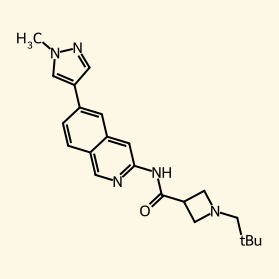 Cn1cc(-c2ccc3cnc(NC(=O)C4CN(CC(C)(C)C)C4)cc3c2)cn1